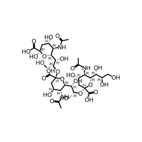 CC(=O)N[C@H]1[C@H]([C@H](O)[C@H](O)CO)O[C@@](O[C@H](CO)[C@@H](O)[C@@H]2O[C@@](O[C@H](CO)[C@@H](O)[C@@H]3O[C@@](O)(C(=O)O)C[C@H](O)[C@H]3NC(C)=O)(C(=O)O)C[C@H](O)[C@H]2NC(C)=O)(C(=O)O)C[C@@H]1O